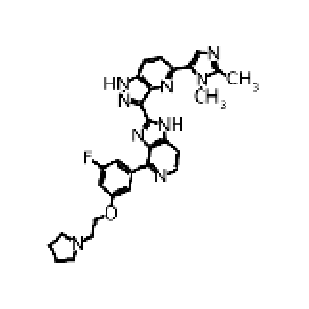 Cc1ncc(-c2ccc3[nH]nc(-c4nc5c(-c6cc(F)cc(OCCN7CCCC7)c6)nccc5[nH]4)c3n2)n1C